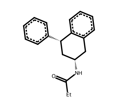 CCC(=O)N[C@H]1Cc2ccccc2[C@@H](c2ccccc2)C1